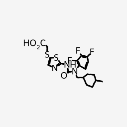 CC1CCC(CN(C(=O)Nc2ncc(SCC(=O)O)s2)c2ccc(F)c(F)c2F)CC1